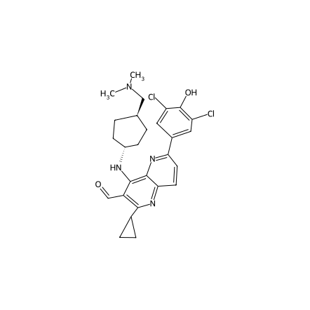 CN(C)C[C@H]1CC[C@H](Nc2c(C=O)c(C3CC3)nc3ccc(-c4cc(Cl)c(O)c(Cl)c4)nc23)CC1